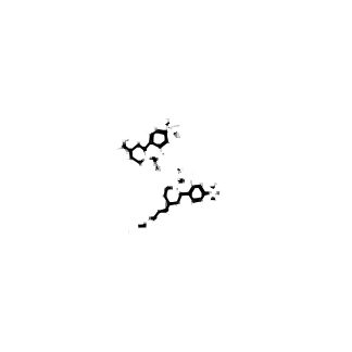 CCOC(=O)CC(=O)C1CCN(C(=O)OC)C(c2ccc(S(C)(=O)=O)cc2)C1.COC(=O)N1CCC(C(=O)O)CC1c1ccc(S(C)(=O)=O)cc1